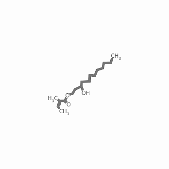 CC=C(C)C(=O)OCCC(O)CCCCCCCCC